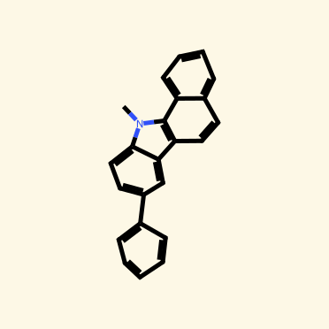 Cn1c2ccc(-c3ccccc3)cc2c2ccc3ccccc3c21